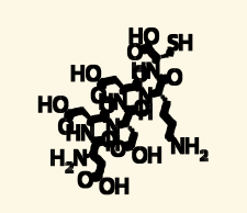 NCCCC[C@H](NC(=O)[C@H](CC(=O)O)NC(=O)[C@H](CC(=O)O)NC(=O)[C@H](CC(=O)O)NC(=O)[C@@H](N)CC(=O)O)C(=O)N[C@@H](CS)C(=O)O